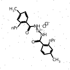 CCCc1cc(C)ccc1C(=O)[NH][Ti+2][NH]C(=O)c1ccc(C)cc1CCC.[Cl-].[Cl-]